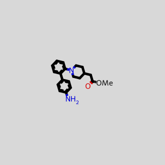 COC(=O)CC1CCN(c2ccccc2-c2ccc(N)cc2)CC1